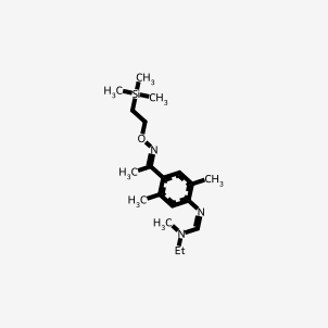 CCN(C)/C=N\c1cc(C)c(/C(C)=N/OCC[Si](C)(C)C)cc1C